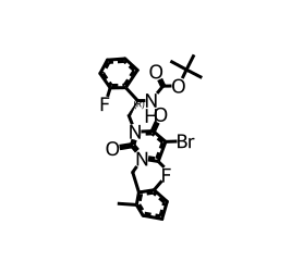 Cc1cccc(F)c1Cn1c(C)c(Br)c(=O)n(C[C@H](NC(=O)OC(C)(C)C)c2ccccc2F)c1=O